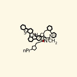 C=C1[n+]2ccccc2-c2ccccc2CCC2(C)c3cc4c(cc3-c3cc(CC5CCC(CCC)C5)cc5[n+]3C12C5)c1cccc2c3c5sc6ccccc6c5ccc3n4c12